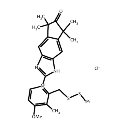 COc1cc[n+](-c2nc3cc4c(cc3[nH]2)C(C)(C)C(=O)C4(C)C)c(CSSC(C)C)c1C.[Cl-]